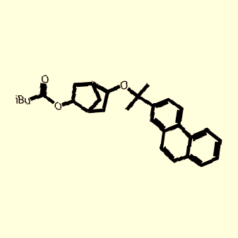 CCC(C)C(=O)OC1CC2CC1CC2OC(C)(C)c1ccc2c(ccc3ccccc32)c1